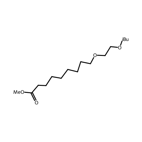 CCC(C)OCCOCCCCCCCCC(=O)OC